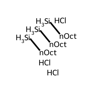 CCCCCCCC[SiH3].CCCCCCCC[SiH3].CCCCCCCC[SiH3].Cl.Cl.Cl